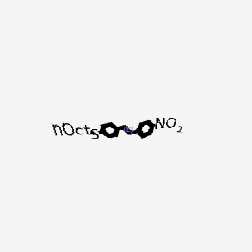 CCCCCCCCSc1ccc(/C=C/c2ccc([N+](=O)[O-])cc2)cc1